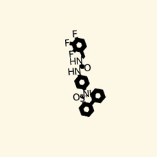 O=C(NCc1ccc(F)c(F)c1F)Nc1ccc(N[S+]([O-])c2ccccc2-c2ccccc2)cc1